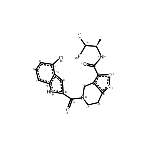 C[C@@H](NC(=O)c1onc2c1CN(C(=O)c1cc3c(Cl)cccc3[nH]1)CC2)C(F)F